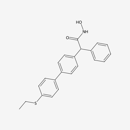 CCSc1ccc(-c2ccc(C(C(=O)NO)c3ccccc3)cc2)cc1